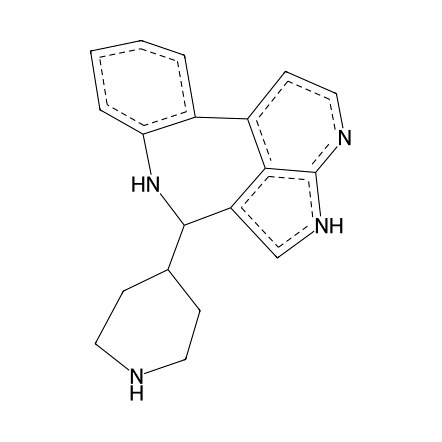 c1ccc2c(c1)NC(C1CCNCC1)c1c[nH]c3nccc-2c13